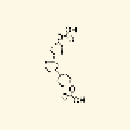 O=C(O)OC1CCC(C2CCCC(C3CCC(OC(=O)O)CC3)C2)CC1